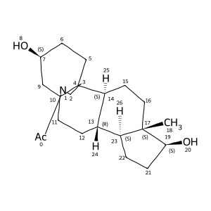 CC(=O)N1CCC23CC[C@H](O)CC12CC[C@@H]1[C@@H]3CC[C@]2(C)[C@@H](O)CC[C@@H]12